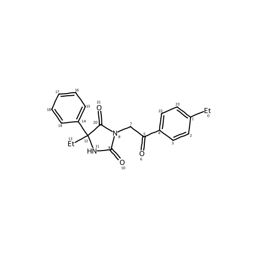 CCc1ccc(C(=O)CN2C(=O)NC(CC)(c3ccccc3)C2=O)cc1